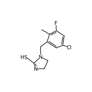 Cc1c(F)cc(Cl)cc1CN1CCN=C1S